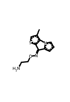 Cc1csc2c1-n1cccc1C2=NOCCN